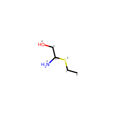 CCSC(N)CO